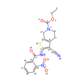 CCOC(=O)N1CCc2c(sc(NC(=O)c3ccccc3[N+](=O)[O-])c2C#N)C1